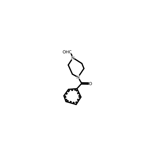 O=CN1CCN(C(=O)c2ccccc2)CC1